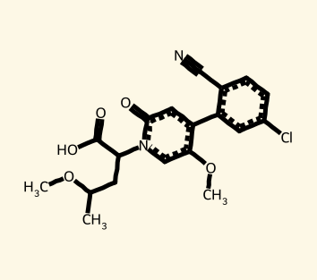 COc1cn(C(CC(C)OC)C(=O)O)c(=O)cc1-c1cc(Cl)ccc1C#N